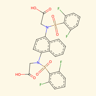 O=C(O)CN(c1ccc(N(CC(=O)O)S(=O)(=O)c2c(F)cccc2F)c2ccccc12)S(=O)(=O)c1c(F)cccc1F